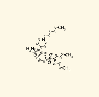 CCCCCCN1CCC(c2c(N)oc3ccc(S(=O)(=O)N(CCCC)CCCC)cc23)CC1